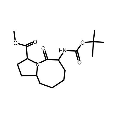 COC(=O)C1CCC2CCCCC(NC(=O)OC(C)(C)C)C(=O)N21